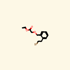 CCOC(=O)COCc1ccccc1CCBr